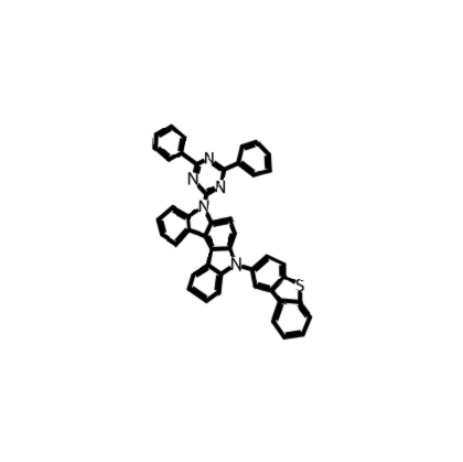 c1ccc(-c2nc(-c3ccccc3)nc(-n3c4ccccc4c4c5c6ccccc6n(-c6ccc7sc8ccccc8c7c6)c5ccc43)n2)cc1